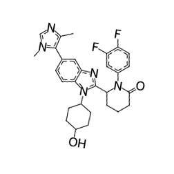 Cc1ncn(C)c1-c1ccc2c(c1)nc(C1CCCC(=O)N1c1ccc(F)c(F)c1)n2C1CCC(O)CC1